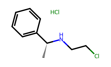 C[C@@H](NCCCl)c1ccccc1.Cl